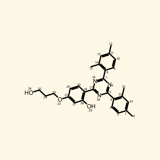 Cc1ccc(-c2nc(-c3ccc(C)cc3C)nc(-c3ccc(OCCCO)cc3O)n2)c(C)c1